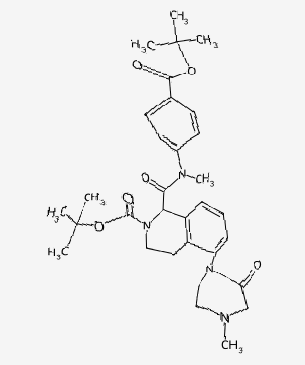 CN1CCN(c2cccc3c2CCN(C(=O)OC(C)(C)C)C3C(=O)N(C)c2ccc(C(=O)OC(C)(C)C)cc2)C(=O)C1